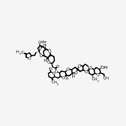 C=C1COC(CC[C@]23C[C@@H](OC)C(O2)[C@H]2CC(O3)[C@H]3OC(CC(=O)OC4CC5OC6CC7(CC8O[C@@]9(CCC8O7)C[C@H](C)C7OC(CO)[C@H](O)CC7O9)O[C@@H]6C[C@@H]5OC4CC4OC(CC)CCC4=C)CCC3O2)C1